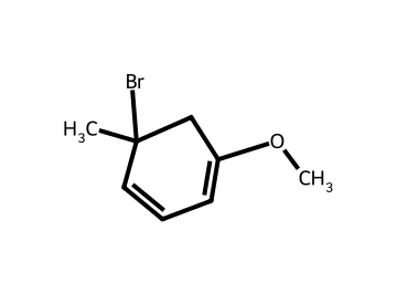 COC1=CC=CC(C)(Br)C1